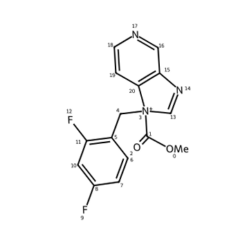 COC(=O)[N+]1(Cc2ccc(F)cc2F)C=Nc2cnccc21